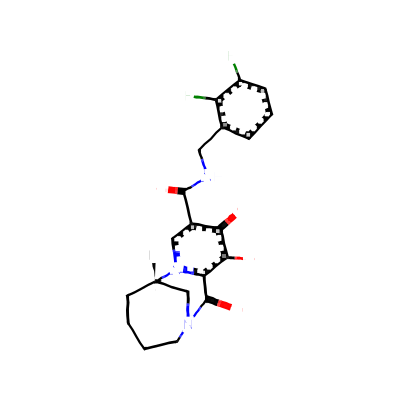 O=C(NCc1cccc(F)c1F)c1cn2c(c(O)c1=O)C(=O)N1CCCC[C@H]2C1